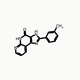 Cc1cccc(-c2nc3c([nH]2)c(=O)[nH]c2ncccc23)c1